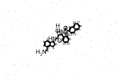 Cl.NCc1cccc2c1CCC2NC(=O)CC(NS(=O)(=O)c1ccc2ccccc2c1)c1ccccc1